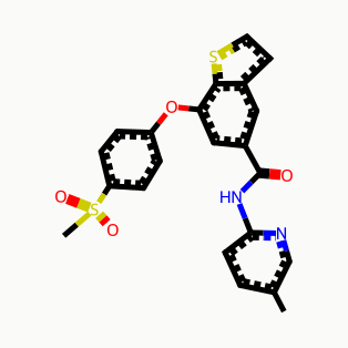 Cc1ccc(NC(=O)c2cc(Oc3ccc(S(C)(=O)=O)cc3)c3sccc3c2)nc1